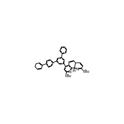 CC(C)(C)C1=N[C@@H]2c3nc(C(C)(C)C)cc(-c4cc(-c5ccccc5)cc(-c5ccc(C6=CCCC=C6)cc5)c4)c3C=CC2C=C1